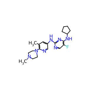 Cc1cc(Nc2ncc(F)c(NC3CCCC3)n2)cnc1N1CCN(C)CC1